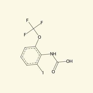 O=C(O)Nc1c(I)cccc1OC(F)(F)F